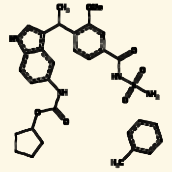 COc1cc(C(=O)NS(N)(=O)=O)ccc1C(C)c1c[nH]c2ccc(NC(=O)OC3CCCC3)cc12.Cc1ccccc1